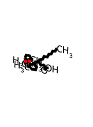 CCCCCCCCCCC(CCC(=O)O)CC1=CC=CC(C)C1=C1C(=O)C2CCC1(C)C2(C)C